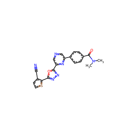 CN(C)C(=O)c1ccc(-c2cncc(-c3nnc(-c4sccc4C#N)o3)n2)cc1